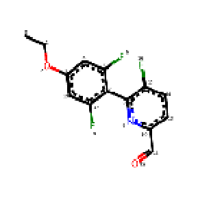 CCOc1cc(F)c(-c2nc(C=O)ccc2F)c(F)c1